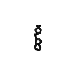 c1ccc2cc(SN3CCC4(CC4)C3)ccc2c1